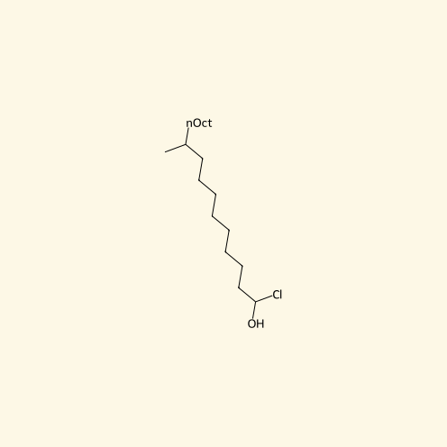 CCCCCCCCC(C)CCCCCCCCC(O)Cl